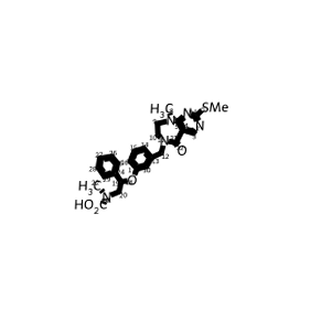 CSc1ncc2c(n1)N(C)CCN(Cc1cccc(OC(CN(C)C(=O)O)c3ccccc3)c1)C2=O